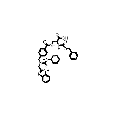 O=C(N[C@@H](CNC(=O)c1ccc(CN(Cc2nc3ccccc3[nH]2)C(=O)NC2CCCCC2)cc1)C(=O)O)OCc1ccccc1